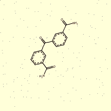 NC(=O)c1cccc(C(=O)c2cccc(C(N)=O)c2)c1